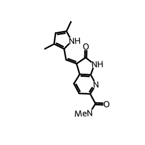 CNC(=O)c1ccc2c(n1)NC(=O)/C2=C\c1[nH]c(C)cc1C